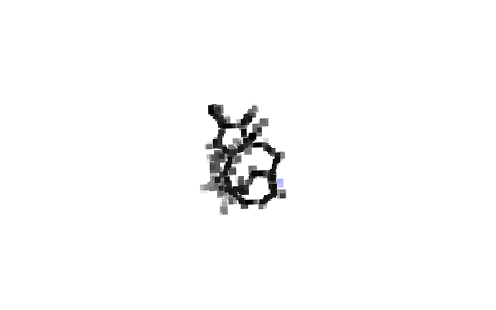 C=C1C(=O)O[C@H]2[C@H]1CC/C(CO)=C/CC[C@@]1(C)O[C@@H]21